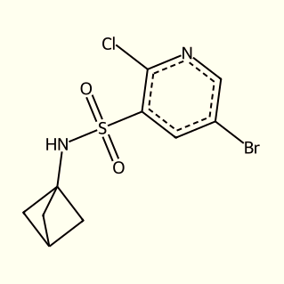 O=S(=O)(NC12CC(C1)C2)c1cc(Br)cnc1Cl